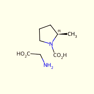 C[C@@H]1CCCN1C(=O)O.NCC(=O)O